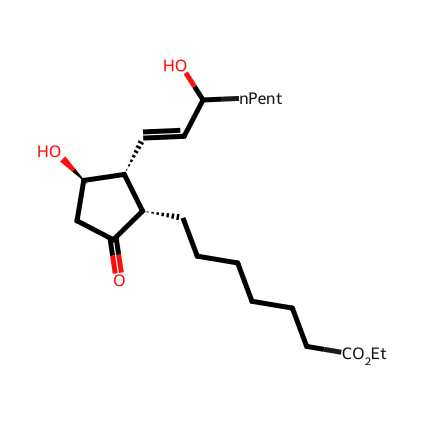 CCCCCC(O)C=C[C@H]1[C@H](O)CC(=O)[C@H]1CCCCCCC(=O)OCC